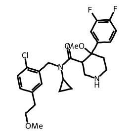 COCCc1ccc(Cl)c(CN(C(=O)C2CNCCC2(OC)c2ccc(F)c(F)c2)C2CC2)c1